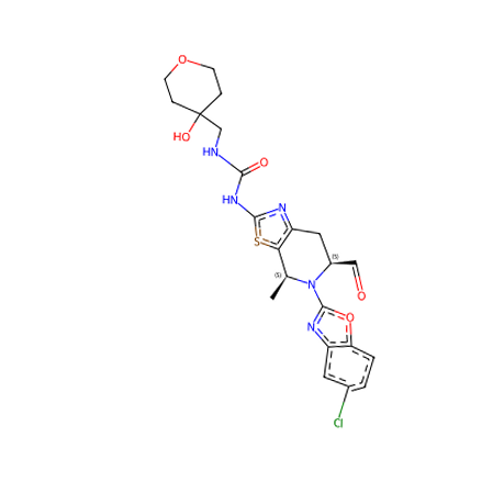 C[C@H]1c2sc(NC(=O)NCC3(O)CCOCC3)nc2C[C@@H](C=O)N1c1nc2cc(Cl)ccc2o1